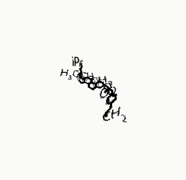 C=CCc1ccc(OC(=O)OC2CC[C@@]3(C)C(=CCC4C3CC[C@@]3(C)C4CC[C@@H]3[C@H](C)CCCC(C)C)C2)cc1